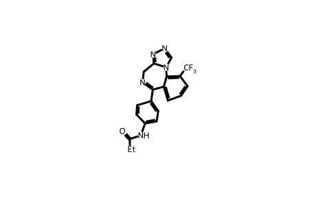 CCC(=O)Nc1ccc(C2=NCc3nncn3-c3c2cccc3C(F)(F)F)cc1